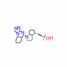 CC(C)(O)C#Cc1cccc2c1CCCN2c1nc2nncn2c2ccccc12